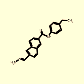 CCc1ccc(NC(=O)c2ccc3cc(C=NN)ccc3c2)cc1